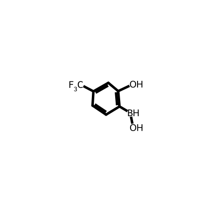 OBc1ccc(C(F)(F)F)cc1O